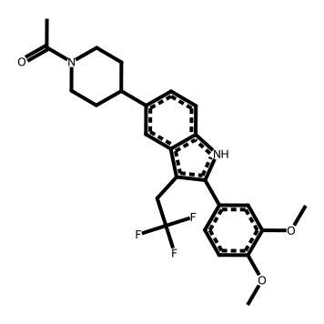 COc1ccc(-c2[nH]c3ccc(C4CCN(C(C)=O)CC4)cc3c2CC(F)(F)F)cc1OC